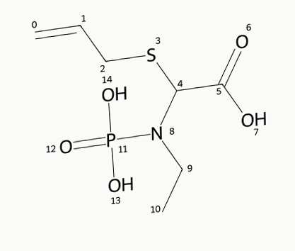 C=CCSC(C(=O)O)N(CC)P(=O)(O)O